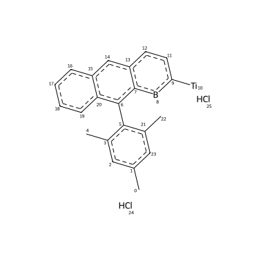 Cc1cc(C)c(-c2c3b[c]([Ti])ccc3cc3ccccc23)c(C)c1.Cl.Cl